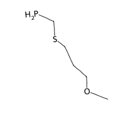 COCCCSCP